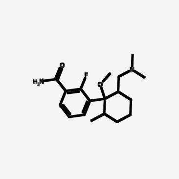 COC1(c2cccc(C(N)=O)c2F)C(C)CCCC1CN(C)C